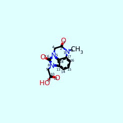 CN1C(=O)Cn2c(=O)n(CC(=O)O)c3cccc1c32